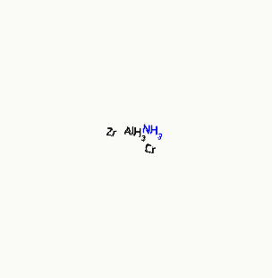 N.[AlH3].[Cr].[Zr]